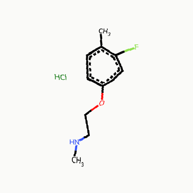 CNCCOc1ccc(C)c(F)c1.Cl